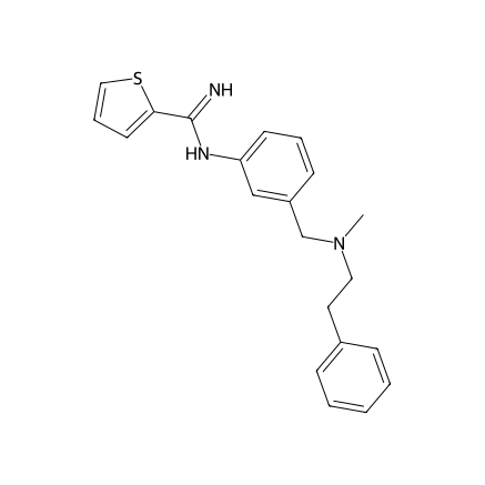 CN(CCc1ccccc1)Cc1cccc(NC(=N)c2cccs2)c1